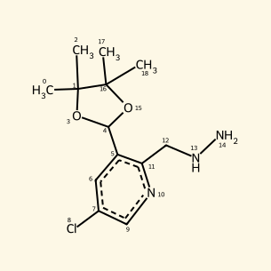 CC1(C)OC(c2cc(Cl)cnc2CNN)OC1(C)C